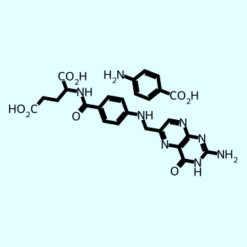 Nc1ccc(C(=O)O)cc1.Nc1nc2ncc(CNc3ccc(C(=O)NC(CCC(=O)O)C(=O)O)cc3)nc2c(=O)[nH]1